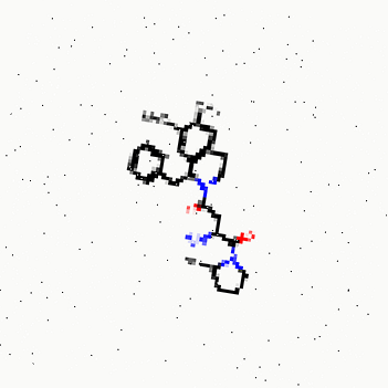 COc1cc2c(cc1OC)C(Cc1ccccc1)N(C(=O)CC(N)C(=O)N1CCCC1C#N)CC2